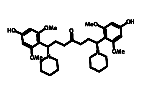 COc1cc(O)cc(OC)c1C(CCC(=O)CCC(c1c(OC)cc(O)cc1OC)N1CCCCC1)N1CCCCC1